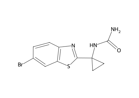 NC(=O)NC1(c2nc3ccc(Br)cc3s2)CC1